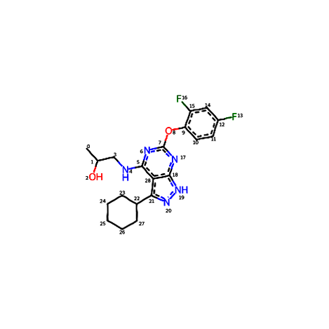 CC(O)CNc1nc(Oc2ccc(F)cc2F)nc2[nH]nc(C3CCCCC3)c12